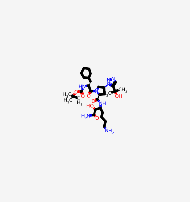 CC(C)(C)OC(=O)N[C@H](CC1CCCCC1)C(=O)N1C[C@@H](n2nncc2C(C)(C)O)C[C@H]1C(=O)NC(CCCCN)C(O)C(N)=O